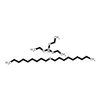 CCCCCCCCCSCCCCCCCCC.CCO[SiH](OCC)OCC